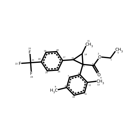 CCOC(=O)C1(c2cc(C)ccc2C)C(C)C1c1ccc(C(F)(F)F)cc1